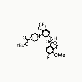 COc1c(F)ccc(S(=O)(=O)Nc2ccc(OC(F)(F)F)c(N3CCN(C(=O)OC(C)(C)C)CC3)c2)c1F